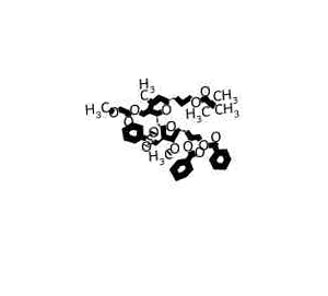 COCC(=O)OCC1C(C)=C[C@H](CCCOC(=O)C(C)(C)C)O[C@@H]1C[C@@H]1O[C@H](CC(COC(=O)c2ccccc2)OC(=O)c2ccccc2)[C@H](OC)[C@H]1CS(=O)(=O)c1ccccc1